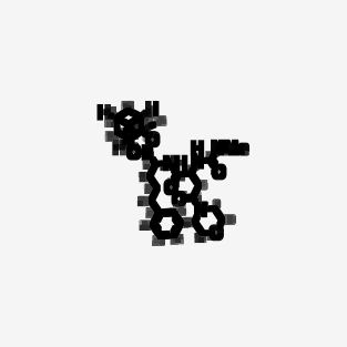 CNC(=O)NC(CC(=O)N1CCOCC1)C(=O)NC(CCCc1ccccc1)B1O[C@@H]2C[C@@H]3C[C@@H](C3(C)C)[C@]2(C)O1